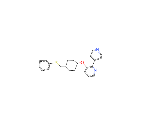 c1ccc(SCC2CCC(Oc3cccnc3-c3ccncc3)CC2)cc1